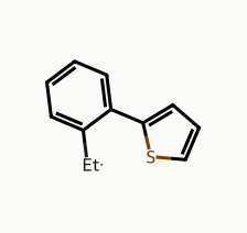 C[CH]c1ccccc1-c1cccs1